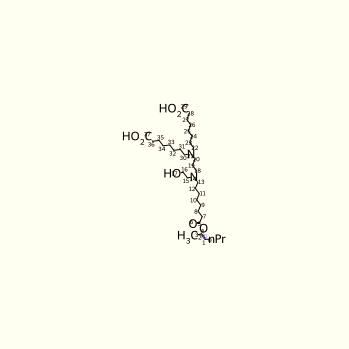 CCC/C=C(/C)OC(=O)CCCCCCCN(CCO)CCCN(CCCCCCCC(=O)O)CCCCCCCC(=O)O